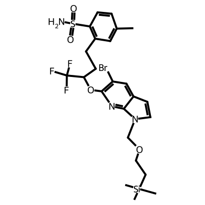 Cc1ccc(S(N)(=O)=O)c(CCC(Oc2nc3c(ccn3COCC[Si](C)(C)C)cc2Br)C(F)(F)F)c1